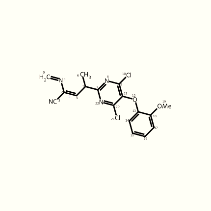 C=N/C(C#N)=C\C(C)c1nc(Cl)c(Oc2ccccc2OC)c(Cl)n1